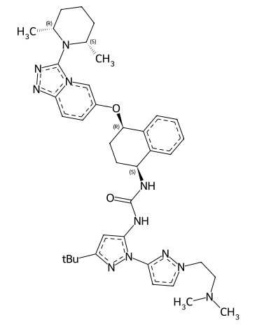 C[C@@H]1CCC[C@H](C)N1c1nnc2ccc(O[C@@H]3CC[C@H](NC(=O)Nc4cc(C(C)(C)C)nn4-c4ccn(CCN(C)C)n4)c4ccccc43)cn12